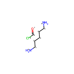 NCCCCCN.O=CCl